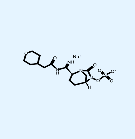 N=C(NC(=O)CC1CCOCC1)[C@@H]1CC[C@@H]2CN1C(=O)N2OS(=O)(=O)[O-].[Na+]